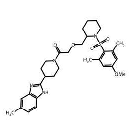 COc1cc(C)c(S(=O)(=O)N2CCCCC2COCC(=O)N2CCC(c3nc4cc(C)ccc4[nH]3)CC2)c(C)c1